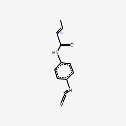 C/C=C/C(=O)Nc1ccc(N=C=O)cc1